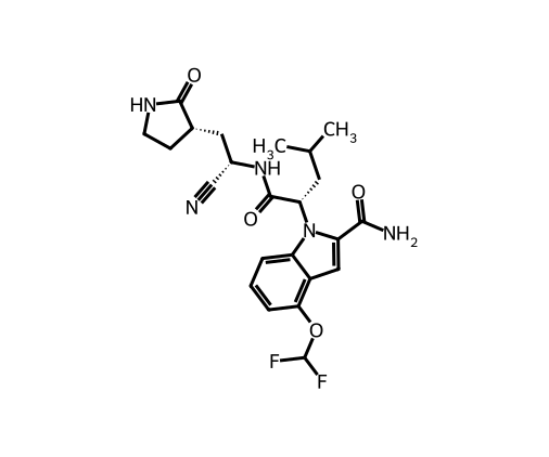 CC(C)C[C@@H](C(=O)N[C@H](C#N)C[C@@H]1CCNC1=O)n1c(C(N)=O)cc2c(OC(F)F)cccc21